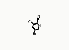 N#Cc1ncc(Br)cc1Cl